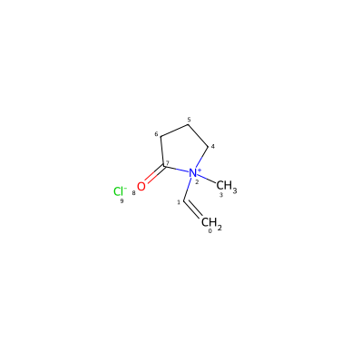 C=C[N+]1(C)CCCC1=O.[Cl-]